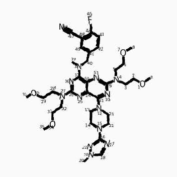 COCCN(CCOC)c1nc(N2CCN(c3ncn(C)n3)CC2)c2nc(N(CCOC)CCOC)nc(N(C)Cc3ccc(F)c(C#N)c3)c2n1